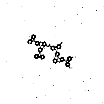 CC(C)c1ccc2c(c1)c1cc(C(C)C)ccc1n2-c1ccc2c(c1)Sc1cccc3c1B2c1ccc(-n2c4ccc(C(C)C)cc4c4cc(C(C)Cc5ccc6c7c5Sc5cc(-n8c9ccccc9c9ccccc98)ccc5B7c5ccc(-n7c8ccccc8c8ccccc87)cc5S6)ccc42)cc1S3